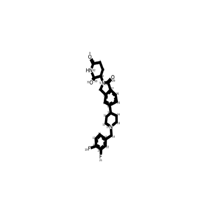 O=C1CCC(N2Cc3cc(C4CCN(Cc5ccc(F)c(F)c5)CC4)ccc3C2=O)C(=O)N1